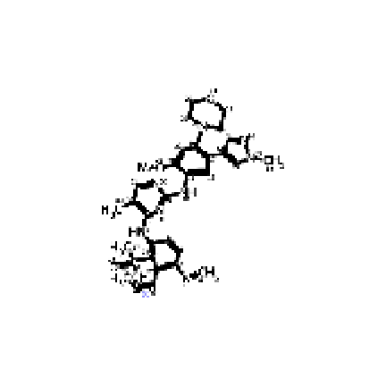 C=Nc1ccc(Nc2nc(Nc3cc(-c4cnn(C)c4)c(N4CCOCC4)cc3OC)ncc2C)c(P(C)(C)=O)c1/N=C\C